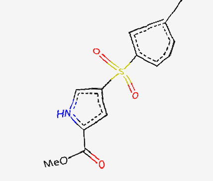 COC(=O)c1cc(S(=O)(=O)c2ccc(C)cc2)c[nH]1